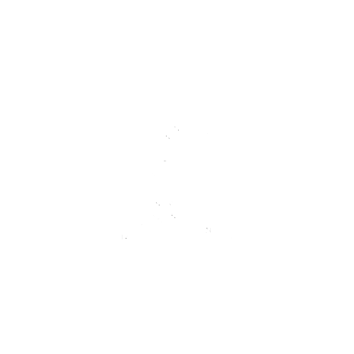 CN1CCC(n2c(=O)n(Cc3ccc(-c4nnc(C(F)F)o4)cc3F)c3cc(Br)ccc32)CC1